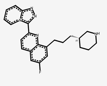 Fc1cc(CCC[C@H]2CCCNC2)c2nc(-c3nnc4ccccn34)ccc2c1